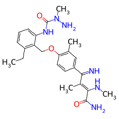 CCc1cccc(NC(=O)N(C)N)c1COc1ccc(C(=N)/C(C)=C(\NC)C(N)=O)cc1C